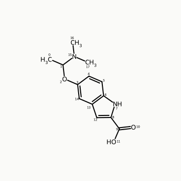 CC(Oc1ccc2[nH]c(C(=O)O)cc2c1)N(C)C